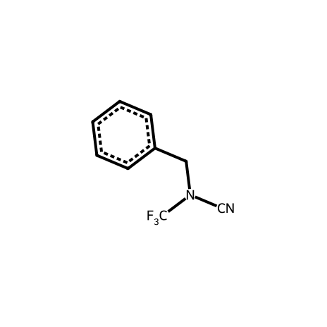 N#CN(Cc1ccccc1)C(F)(F)F